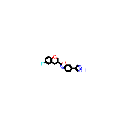 Fc1ccc2c(c1)CC(c1nc3ccc(-c4cn[nH]c4)cc3o1)CO2